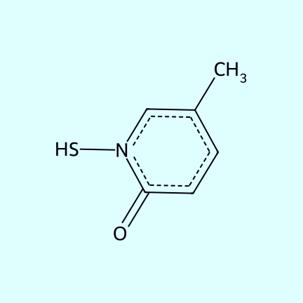 Cc1ccc(=O)n(S)c1